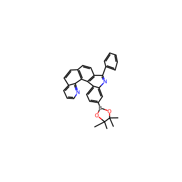 CC1(C)OB(c2ccc3c(c2)nc(-c2ccccc2)c2ccc4ccc5cccnc5c4c23)OC1(C)C